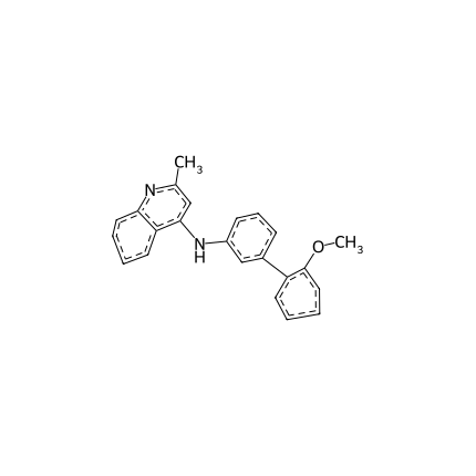 COc1ccccc1-c1cccc(Nc2cc(C)nc3ccccc23)c1